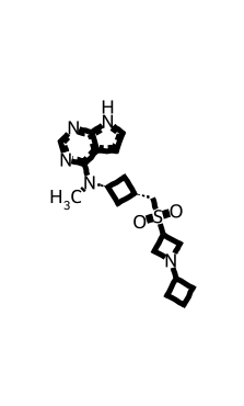 CN(c1ncnc2[nH]ccc12)[C@H]1C[C@@H](CS(=O)(=O)C2CN(C3CCC3)C2)C1